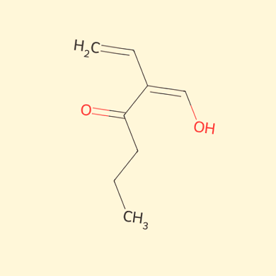 C=CC(=CO)C(=O)CCC